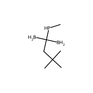 BC(B)(CC(C)(C)C)PC